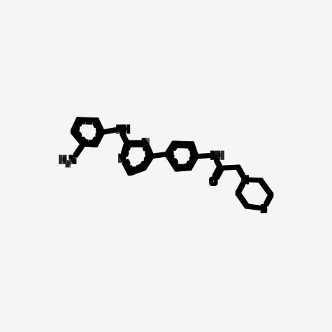 Nc1cccc(Nc2nccc(-c3ccc(NC(=O)CN4CCSCC4)cc3)n2)c1